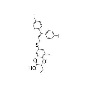 CCC(Oc1ccc(SCC=C(c2ccc(I)cc2)c2ccc(I)cc2)cc1C)C(=O)O